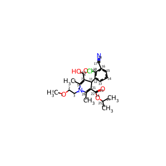 COCCN1C(C)=C(C(=O)O)C(c2cccc(C#N)c2Cl)C(C(=O)OC(C)C)=C1C